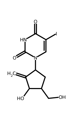 C=C1C(O)C(CO)CC1n1cc(I)c(=O)[nH]c1=O